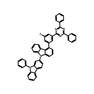 Fc1cc(-c2nc(-c3ccccc3)nc(-c3ccccc3)n2)cc(-c2cccc3c2c2ccccc2n3-c2ccc3c4ccccc4n(-c4ccccc4)c3c2)c1